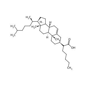 CCCCCC(C(=O)O)[C@H]1CC[C@@]2(C)C(=CC[C@H]3[C@@H]4CC[C@H]([C@H](C)CCCC(C)C)[C@@]4(C)CC[C@@H]32)C1